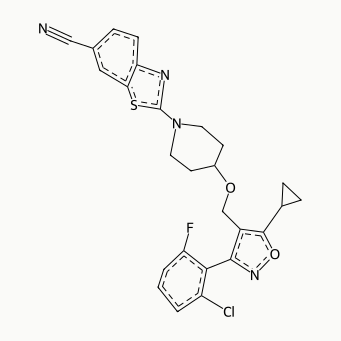 N#Cc1ccc2nc(N3CCC(OCc4c(-c5c(F)cccc5Cl)noc4C4CC4)CC3)sc2c1